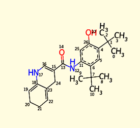 CC(C)(C)c1cc(C(C)(C)C)c(NC(=O)C2=CNC3=CCCC=C3C2)cc1O